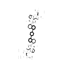 CCC(NC(=O)C(C)NC)C(=O)N1CCC[C@H]1C(=O)N[C@@H]1CCCc2c(-c3ccc(-c4cccc5c4CCC[C@H]5NC(=O)[C@@H]4CCCN4C(=O)C(CC)NC(=O)C(C)NC)cc3)cccc21